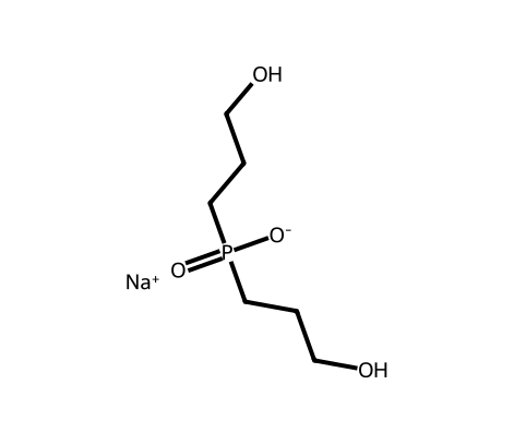 O=P([O-])(CCCO)CCCO.[Na+]